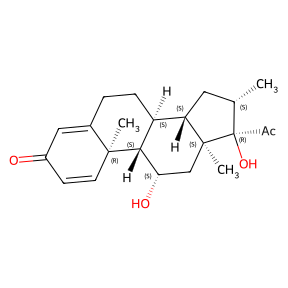 CC(=O)[C@@]1(O)[C@@H](C)C[C@H]2[C@@H]3CCC4=CC(=O)C=C[C@]4(C)[C@H]3[C@@H](O)C[C@@]21C